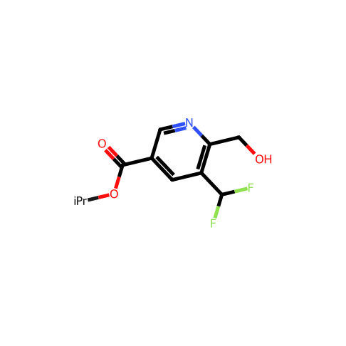 CC(C)OC(=O)c1cnc(CO)c(C(F)F)c1